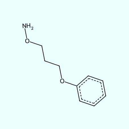 NOCCCOc1ccccc1